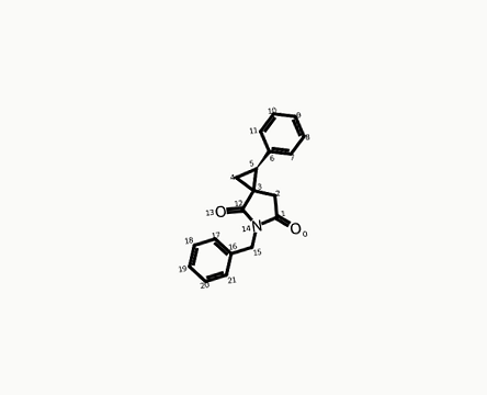 O=C1CC2(C[C@H]2c2ccccc2)C(=O)N1Cc1ccccc1